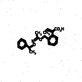 C/C=C(/C(=O)O)c1ccccc1CO/C(C)=N\OC(C)c1ccccc1